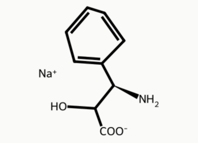 N[C@H](c1ccccc1)C(O)C(=O)[O-].[Na+]